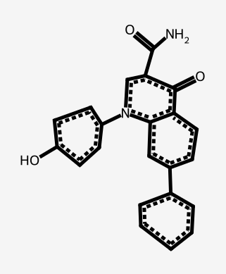 NC(=O)c1cn(-c2ccc(O)cc2)c2cc(-c3ccccc3)ccc2c1=O